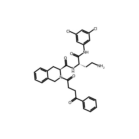 NCC[C@H](NC(=O)[C@@H]1Cc2ccccc2CN1C(=O)CCC(=O)c1ccccc1)C(=O)Nc1cc(Cl)cc(Cl)c1